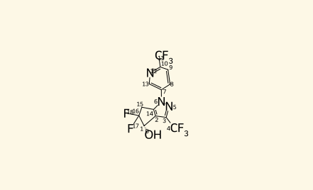 O[C@H]1c2c(C(F)(F)F)nn(-c3ccc(C(F)(F)F)nc3)c2CC1(F)F